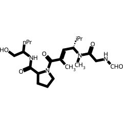 CCCC(CO)NC(=O)C1CCCN1C(=O)/C(C)=C/[C@H](C(C)C)N(C)C(=O)CNC=O